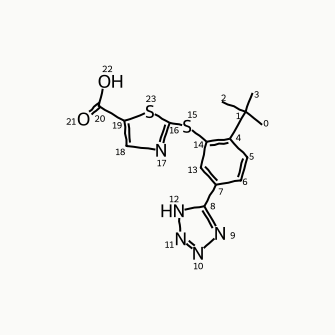 CC(C)(C)c1ccc(-c2nnn[nH]2)cc1Sc1ncc(C(=O)O)s1